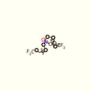 COCCN(C(=O)c1cccc(-c2cccc3c(C)c(Cc4cccc(C(F)(F)F)c4)sc23)c1)c1cccc(-c2cccc3c(C)c(Cc4cccc(C(F)(F)F)c4)sc23)c1